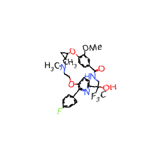 COc1cc(C(=O)NCC(O)(c2ccc(OCCN(C)C)c(-c3ccc(F)cc3)n2)C(F)(F)F)ccc1OC1CC1